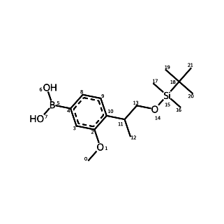 COc1cc(B(O)O)ccc1C(C)CO[Si](C)(C)C(C)(C)C